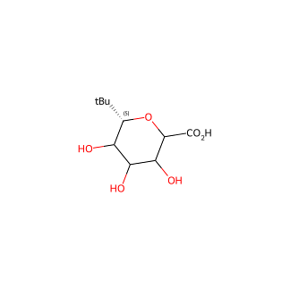 CC(C)(C)[C@@H]1OC(C(=O)O)C(O)C(O)C1O